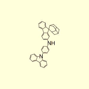 c1ccc2c(c1)-c1ccc(Nc3ccc(-n4c5ccccc5c5ccccc54)cc3)cc1C21C2CC3CC(C2)CC1C3